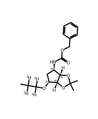 [2H]C([2H])(C)C([2H])([2H])O[C@H]1C[C@@H](NC(=O)OCc2ccccc2)[C@@H]2OC(C)(C)O[C@@H]21